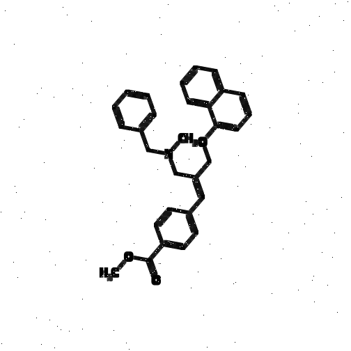 COC(=O)c1ccc(C=C(COc2cccc3ccccc23)CN(C)Cc2ccccc2)cc1